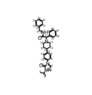 CC(C)n1ncn(-c2ccc(C3CCN(C(C(=O)NCc4ccccc4)c4ccccc4)CC3)cc2)c1=O